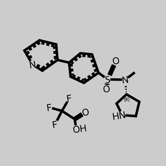 CN([C@@H]1CCNC1)S(=O)(=O)c1ccc(-c2cccnc2)cc1.O=C(O)C(F)(F)F